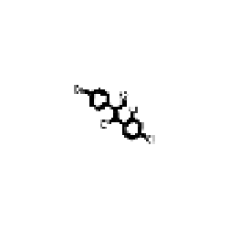 O=CC(=C(Cl)c1ccc(Cl)cc1Cl)c1ccc(Br)cc1